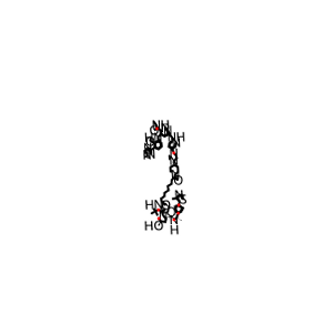 CNC(=O)c1nnc(Nc2ccc(N3CCN(C4CCN(C(=O)CCCCCCCC(=O)NC(C(=O)N5C[C@H](O)C[C@H]5C(=O)N[C@@H](C)c5ccc(-c6scnc6C)cc5)C(C)(C)C)CC4)CC3)cn2)cc1Nc1cccc(-c2ncn(C)n2)c1OC